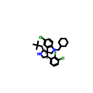 CC(C)(C)C[C@@H]1NC[C@H](c2cccc(Cl)c2F)[C@]12CN(CC1CCCCC1)c1ccc(Cl)cc12